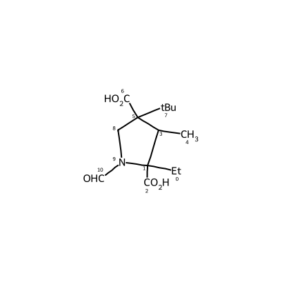 CCC1(C(=O)O)C(C)C(C(=O)O)(C(C)(C)C)CN1C=O